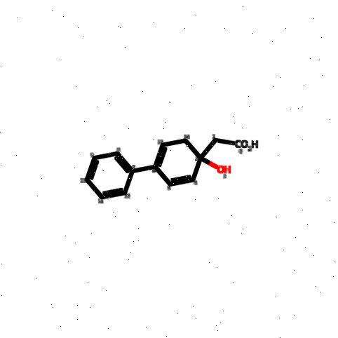 O=C(O)CC1(O)C=CC(c2ccccc2)=CC1